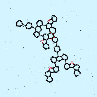 c1ccc(-c2ccc(-c3c4cccc(-c5cc6ccccc6c6c5oc5ccccc56)c4cc4c(-c5cc6cc(-c7ccc(-c8ccc(-c9c%10cccc(-c%11cccc%12c%11oc%11ccc%13ccccc%13c%11%12)c%10cc%10c(-c%11cccc%12c%11oc%11ccc%13ccccc%13c%11%12)cccc9%10)cc8)cc7)ccc6c6c5oc5ccccc56)cccc34)cc2)cc1